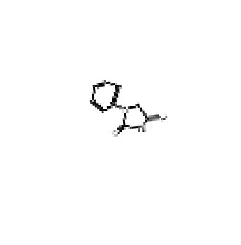 O=C1[CH]N(c2ccccc2)C(=O)N1